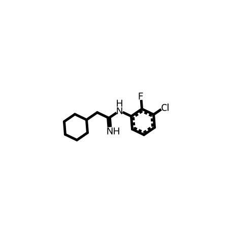 N=C(CC1CCCCC1)Nc1cccc(Cl)c1F